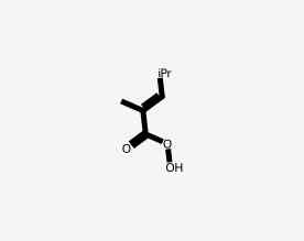 C/C(=C\C(C)C)C(=O)OO